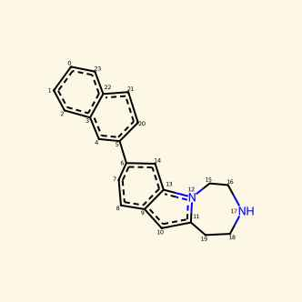 c1ccc2cc(-c3ccc4cc5n(c4c3)CCNCC5)ccc2c1